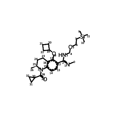 C/N=C(\NCOCC[Si](C)(C)C)c1ccc2c(c1OC1CCC1)CC[C@H](C)N2C(=O)C1CC1